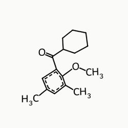 COc1c(C)cc(C)cc1C(=O)C1CCCCC1